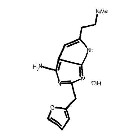 CNCCc1cc2c(N)nc(Cc3ccco3)nc2[nH]1.Cl